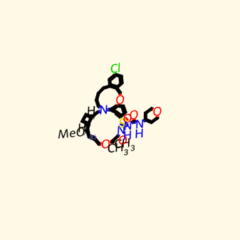 CO[C@H]1/C=C/COC(C)(C)C(=O)N=S(=O)(NC(=O)NC2CCOCC2)c2ccc3c(c2)N(CCCCc2cc(Cl)ccc2CO3)C[C@@H]2CC[C@H]21